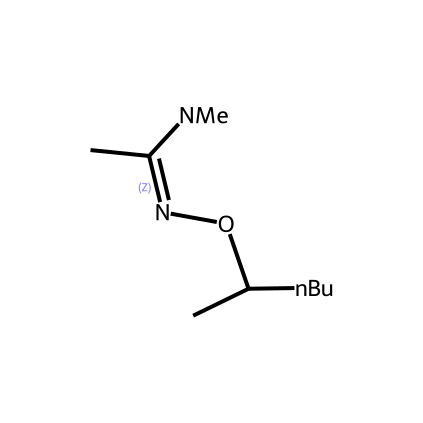 CCCCC(C)O/N=C(/C)NC